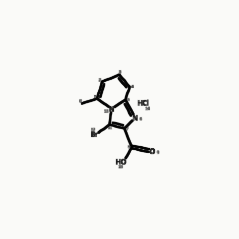 Cc1cccc2nc(C(=O)O)c(Br)n12.Cl